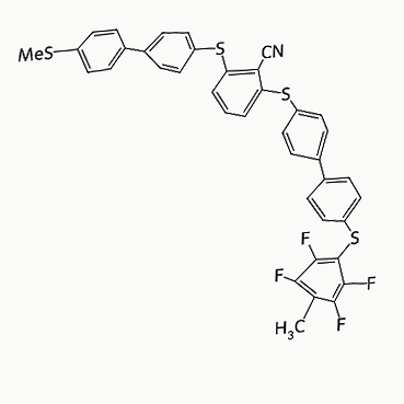 CSc1ccc(-c2ccc(Sc3cccc(Sc4ccc(-c5ccc(Sc6c(F)c(F)c(C)c(F)c6F)cc5)cc4)c3C#N)cc2)cc1